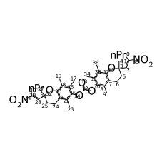 CCC/C(=C\C1(C)CCc2c(C)c(OC(=O)Oc3c(C)c(C)c4c(c3C)CCC(C)(/C=C(\CCC)[N+](=O)[O-])O4)c(C)c(C)c2O1)[N+](=O)[O-]